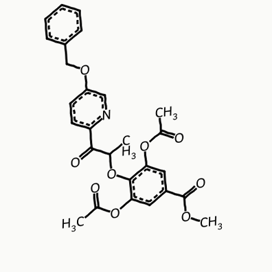 COC(=O)c1cc(OC(C)=O)c(OC(C)C(=O)c2ccc(OCc3ccccc3)cn2)c(OC(C)=O)c1